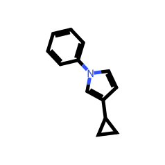 c1ccc(-n2ccc(C3CC3)c2)cc1